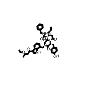 C=CCN1CC(=O)N2[C@@H](Cc3ccc(O)cc3)C(=O)N(Cc3cccc4c(C(=O)/C=C(/C)OCC)c[nH]c34)C[C@@H]2N1C(=O)NCc1ccccc1